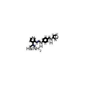 N=C/C(=C\N)c1ccncc1/C=C/Nc1ccc(CNC2CCOC2)cc1